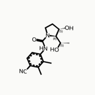 Cc1c(C#N)ccc(NC(=O)N2CC[C@H](O)[C@H]2[C@H](C)O)c1C